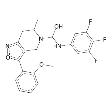 COc1ccccc1-c1onc2c1CN(C(O)Nc1cc(F)c(F)c(F)c1)C(C)C2